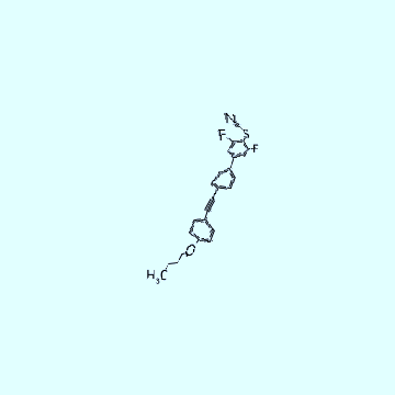 CCCCOc1ccc(C#Cc2ccc(-c3cc(F)c(SC#N)c(F)c3)cc2)cc1